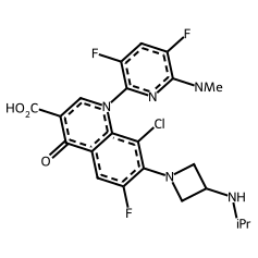 CNc1nc(-n2cc(C(=O)O)c(=O)c3cc(F)c(N4CC(NC(C)C)C4)c(Cl)c32)c(F)cc1F